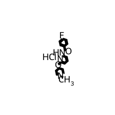 CN1CCC(Oc2cccc(NC(=O)c3ccc(F)cc3)n2)CC1.Cl